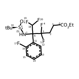 CCOC(=O)CCC(F)(F)C(N[S@+]([O-])C(C)(C)C)(c1ccccc1F)C(F)F